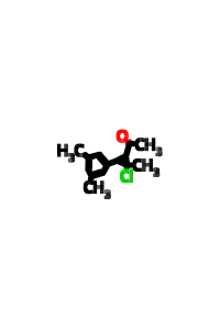 CC(=O)C1C(c2cc(C)cc(C)c2)C1(C)Cl